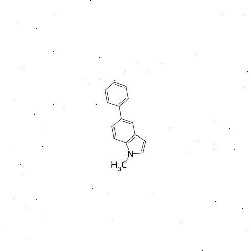 Cn1ccc2cc(-c3cc[c]cc3)ccc21